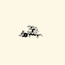 CC(C)C(NC(=O)O)C(=O)NC(CCCNC(N)=O)C(=O)Nc1ccc(CO)c([N+](=O)[O-])c1